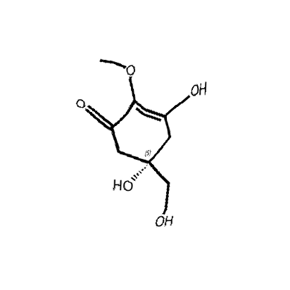 COC1=C(O)C[C@@](O)(CO)CC1=O